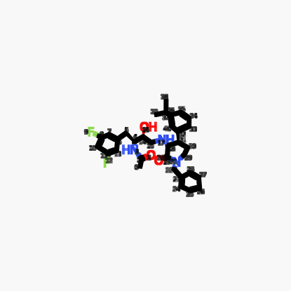 CC(=O)N[C@@H](Cc1cc(F)cc(F)c1)[C@H](O)CNC1C(=O)N(Cc2ccccc2)CC[C@@H]1c1cccc(C(C)C)c1